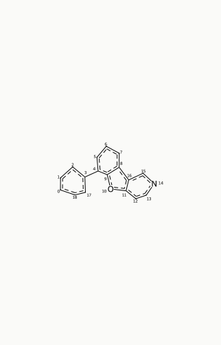 c1ccc(-c2cccc3c2oc2ccncc23)cc1